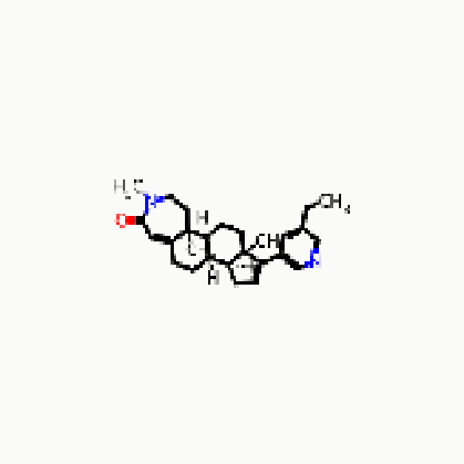 CCc1cncc(C2=CC[C@H]3[C@@H]4CCC5=CC(=O)N(C)CC[C@]5(C)[C@H]4CC[C@]23C)c1